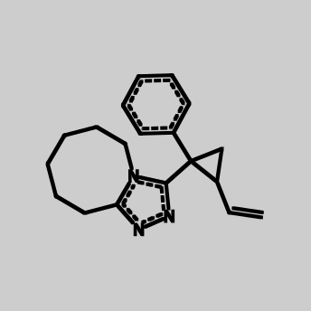 C=CC1CC1(c1ccccc1)c1nnc2n1CCCCCC2